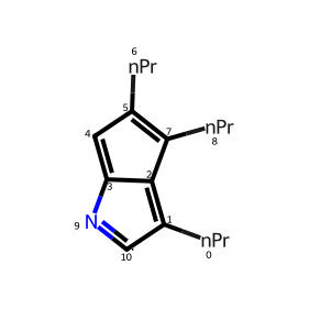 CCCC1=C2C(=CC(CCC)=C2CCC)N=[C]1